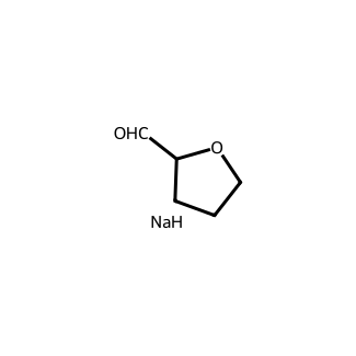 O=CC1CCCO1.[NaH]